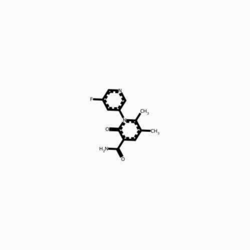 Cc1cc(C(N)=O)c(=O)n(-c2cncc(F)c2)c1C